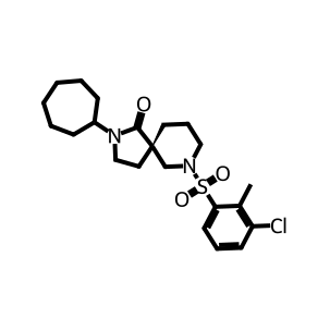 Cc1c(Cl)cccc1S(=O)(=O)N1CCC[C@]2(CCN(C3CCCCCC3)C2=O)C1